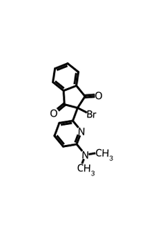 CN(C)c1cccc(C2(Br)C(=O)c3ccccc3C2=O)n1